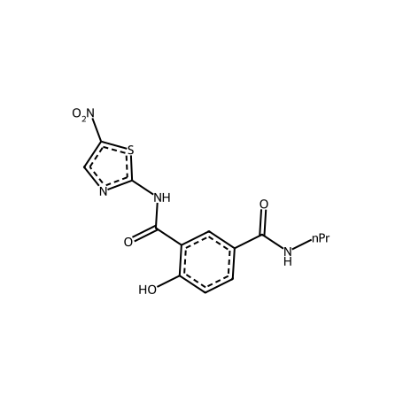 CCCNC(=O)c1ccc(O)c(C(=O)Nc2ncc([N+](=O)[O-])s2)c1